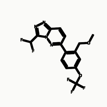 COCc1cc(OC(F)(F)F)ccc1-c1ccc2nnc(C(F)F)n2n1